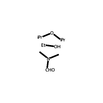 CC(C)OC(C)C.CCO.CN(C)C=O